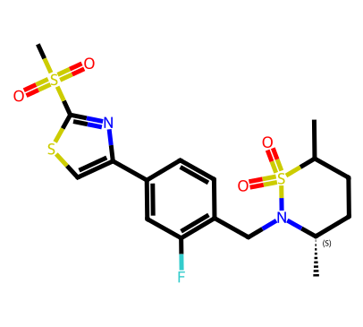 CC1CC[C@H](C)N(Cc2ccc(-c3csc(S(C)(=O)=O)n3)cc2F)S1(=O)=O